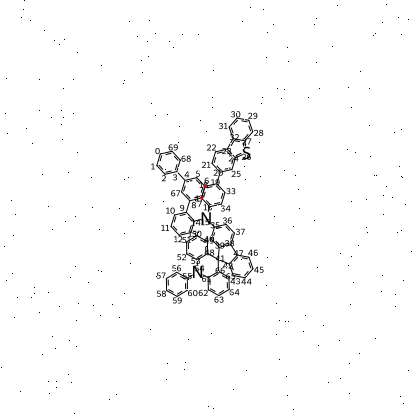 c1ccc(-c2cccc(-c3ccccc3N(c3ccc(-c4ccc5c(c4)sc4ccccc45)cc3)c3ccc4c(c3)C3(c5ccccc5-4)c4ccccc4N(c4ccccc4)c4ccccc43)c2)cc1